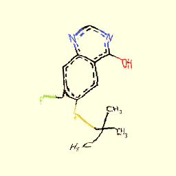 CC(C)(C)Sc1cc2c(O)ncnc2cc1F